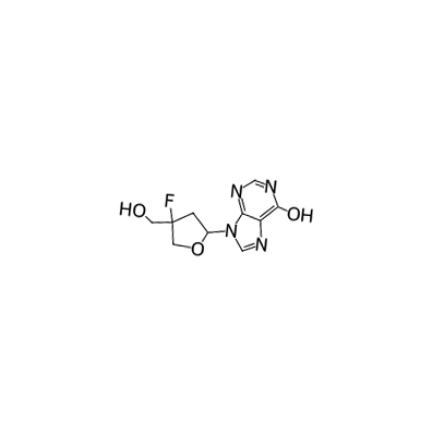 OCC1(F)COC(n2cnc3c(O)ncnc32)C1